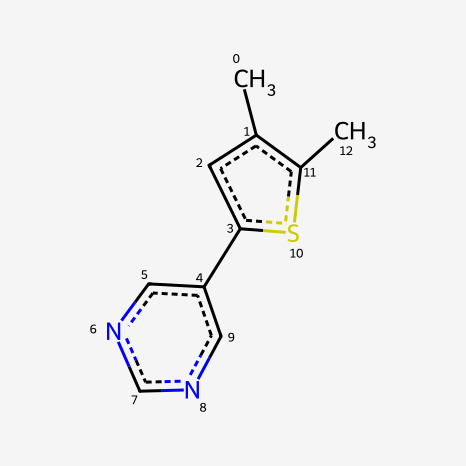 Cc1cc(-c2cncnc2)sc1C